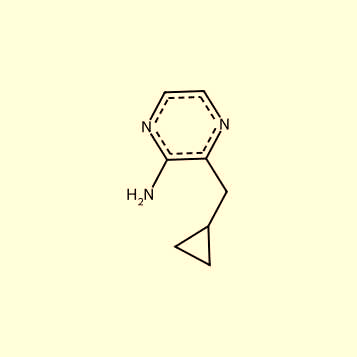 Nc1nccnc1CC1CC1